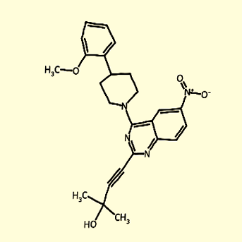 COc1ccccc1C1CCN(c2nc(C#CC(C)(C)O)nc3ccc([N+](=O)[O-])cc23)CC1